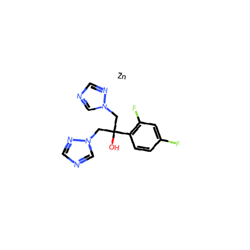 OC(Cn1cncn1)(Cn1cncn1)c1ccc(F)cc1F.[Zn]